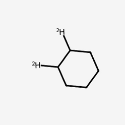 [2H]C1CCCCC1[2H]